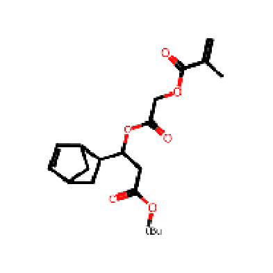 C=C(C)C(=O)OCC(=O)OC(CC(=O)OC(C)(C)C)C1CC2C=CC1C2